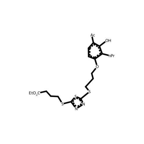 CCCc1c(OCCCSc2nnc(SCCCC(=O)OCC)s2)ccc(C(C)=O)c1O